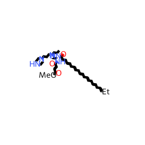 CCC=CCC=CCC=CCC=CCC=CCC=CCCC(=O)NC(C)CN(CCCN1CCNCC1)CCNC(=O)C=CC(=O)OC